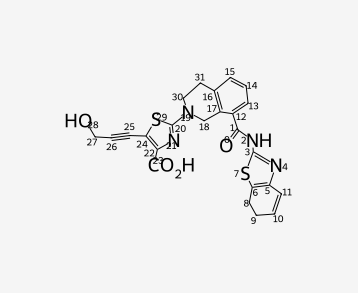 O=C(Nc1nc2c(s1)CCC=C2)c1cccc2c1CN(c1nc(C(=O)O)c(C#CCO)s1)CC2